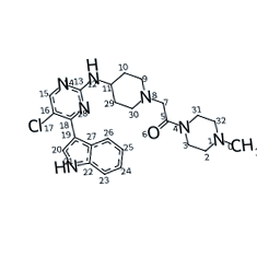 CN1CCN(C(=O)CN2CCC(Nc3ncc(Cl)c(-c4c[nH]c5ccccc45)n3)CC2)CC1